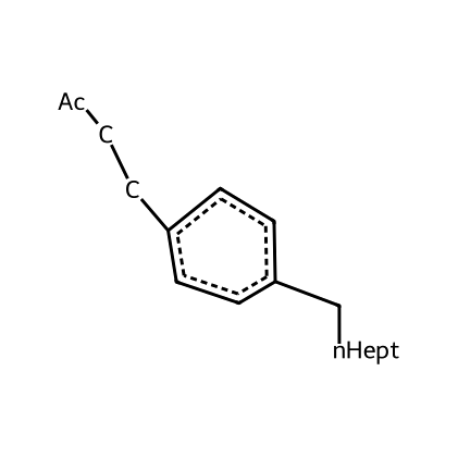 CCCCCCCCc1ccc(CCC(C)=O)cc1